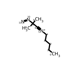 CCCCC[N+]#CC(C)(C)N=[N]